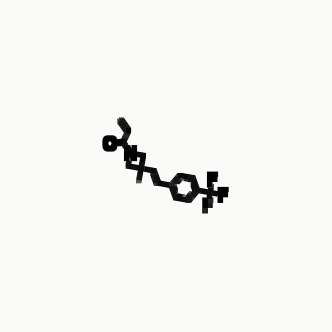 C=CC(=O)N1CC(C)(/C=C/c2ccc(C(F)(F)F)cc2)C1